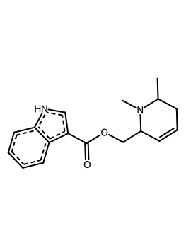 CC1CC=CC(COC(=O)c2c[nH]c3ccccc23)N1C